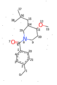 CCc1ccc(C(=O)N2CCC(OC)C(CC(C)C)C2)cc1